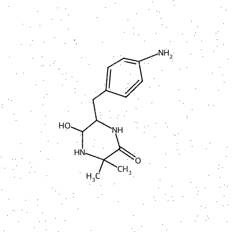 CC1(C)NC(O)C(Cc2ccc(N)cc2)NC1=O